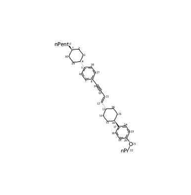 CCCCC[C@H]1CC[C@H](c2ccc(C#CC=C[C@H]3CC[C@H](c4ccc(OCCC)cc4)CC3)cc2)CC1